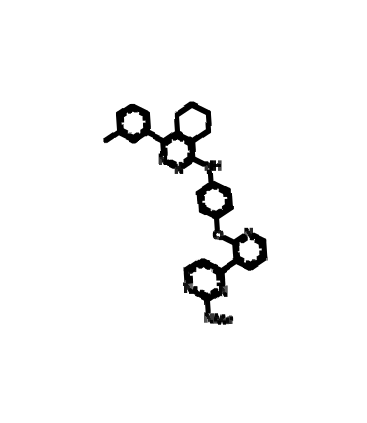 CNc1nccc(-c2cccnc2Oc2ccc(Nc3nnc(-c4cccc(C)c4)c4c3CCCC4)cc2)n1